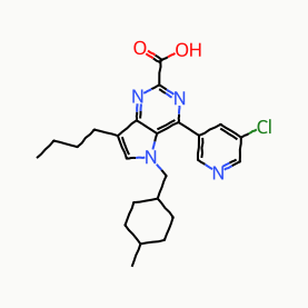 CCCCc1cn(CC2CCC(C)CC2)c2c(-c3cncc(Cl)c3)nc(C(=O)O)nc12